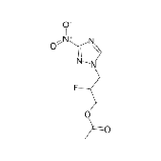 CC(=O)OCC(F)Cn1cnc([N+](=O)[O-])n1